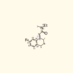 CCN(C)C(=O)/C=C1\CCCc2ccc(F)cc21